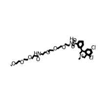 COCCOCCOCCC(=O)NCCOCCOCCOCCNS(=O)(=O)c1cccc(C2CN(C)Cc3c(Cl)cc(Cl)cc32)c1